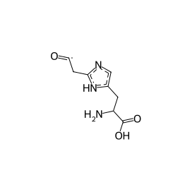 NC(Cc1cnc(C[C]=O)[nH]1)C(=O)O